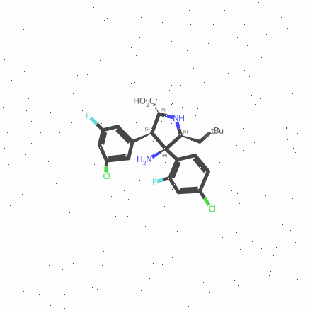 CC(C)(C)C[C@@H]1N[C@@H](C(=O)O)[C@H](c2cc(F)cc(Cl)c2)[C@@]1(N)c1ccc(Cl)cc1F